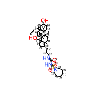 CC[C@H]1[C@@H](O)[C@@H]2[C@H](CC[C@]3(C)[C@@H](CCCNC(=O)NS(=O)(=O)N4CCCCCC4)CC[C@@H]23)[C@@]2(C)CC[C@@H](O)C[C@@H]12